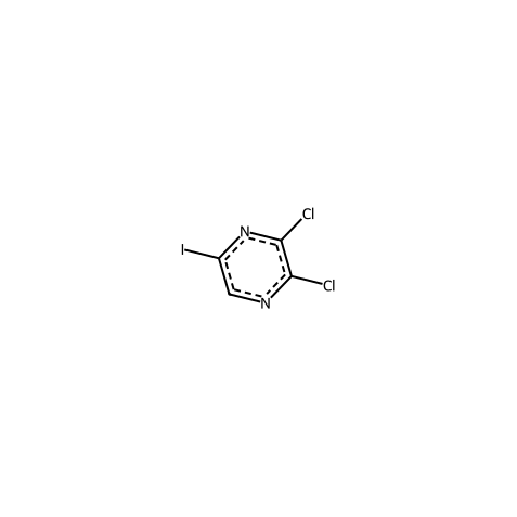 Clc1ncc(I)nc1Cl